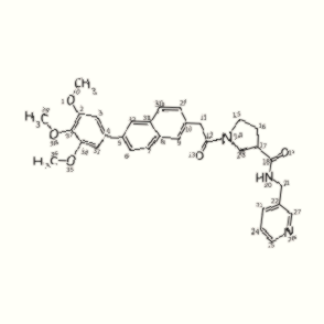 COc1cc(-c2ccc3cc(CC(=O)N4CCC(C(=O)NCc5cccnc5)C4)ccc3c2)cc(OC)c1OC